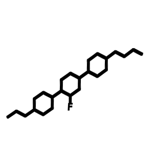 CCCCC1CCC(C2CCC(C3CCC(CCC)CC3)C(F)C2)CC1